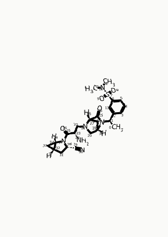 C[C@H](c1cccc(S(=O)(=O)N(C)C)c1)N1C(=O)[C@@H]2C[C@H]1CN2C[C@H](N)C(=O)N1[C@H](C#N)C[C@@H]2C[C@@H]21